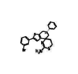 NC1=NC2(CCS1)C[C@@H](c1ccccc1)Cc1sc(-c3cccc(Br)c3)cc12